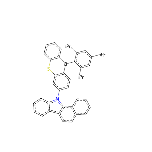 CC(C)c1cc(C(C)C)c(B2c3ccccc3Sc3cc(-n4c5ccccc5c5ccc6ccccc6c54)ccc32)c(C(C)C)c1